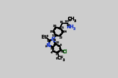 CCc1nc2cc(C(F)(F)F)c(Cl)cc2n1-c1ccc(C[C@H](C)N)cc1